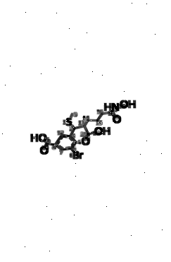 CSC(c1cc(Br)cc(C(=O)O)c1)C(CCCC(=O)NO)C(=O)O